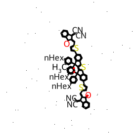 CCCCCCc1ccc(C2(c3ccc(C)cc3)c3cc(-c4ccc(/C=C5\C(=O)c6ccccc6C5=C(C#N)C#N)s4)ccc3-c3sc4c(c32)C(c2ccc(CCCCCC)cc2)(c2ccc(CCCCCC)cc2)c2cc(-c3ccc(/C=C5\C(=O)c6ccccc6C5=C(C#N)C#N)s3)ccc2-4)cc1